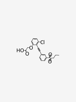 CCCS(=O)(=O)c1cccc(C#Cc2c(Cl)cccc2OCC(=O)O)c1